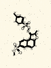 COS(=O)(=O)c1ccc2c3c(ccc2c1)OC(C)/C3=N\OS(=O)(=O)C1=CC=C(C)CC1